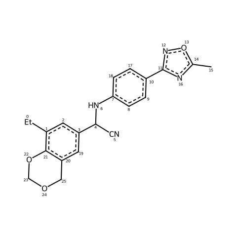 CCc1cc(C(C#N)Nc2ccc(-c3noc(C)n3)cc2)cc2c1OCOC2